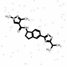 Cc1nn(C)cc1C(=O)NC1CCc2cc(-c3noc(C(C)C)n3)ccc21